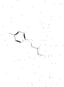 CC(=O)NCC(O)COc1ccc(C)cc1